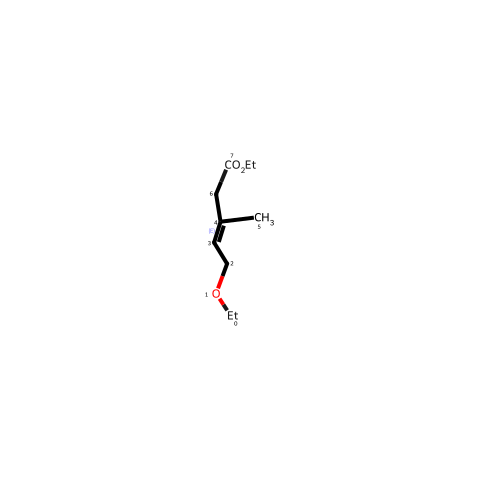 CCOC/C=C(\C)CC(=O)OCC